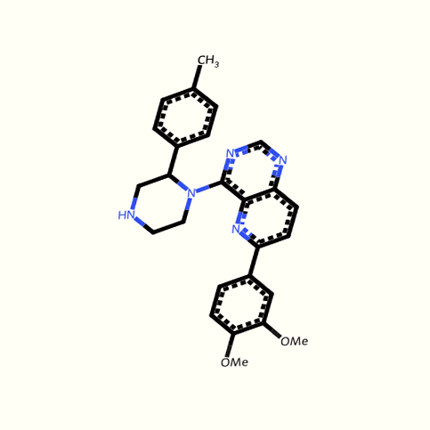 COc1ccc(-c2ccc3ncnc(N4CCNCC4c4ccc(C)cc4)c3n2)cc1OC